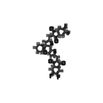 O=C1C(=Cc2cc3c(s2)-c2sc(C=C4C(=O)c5cc(F)c(F)cc5C4=O)cc2C2(CCCCC2)O3)C(=O)c2cc(F)c(F)cc21